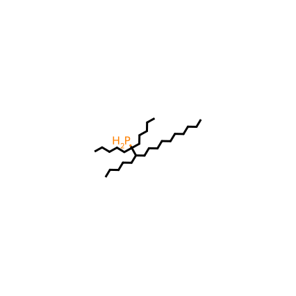 CCCCCCCCCCC(CCCCC)C(P)(CCCCC)CCCCC